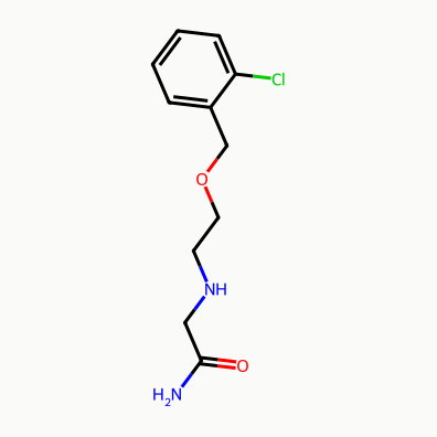 NC(=O)CNCCOCc1ccccc1Cl